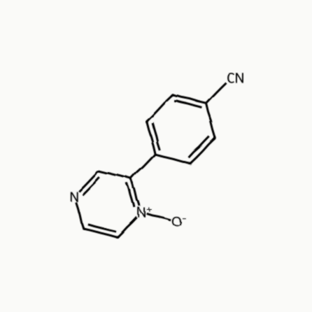 N#Cc1ccc(-c2cncc[n+]2[O-])cc1